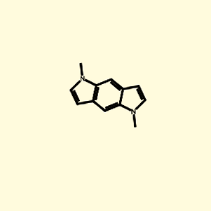 Cn1ccc2cc3c(ccn3C)cc21